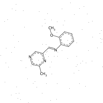 COc1ccccc1N=Cc1cncc(C)n1